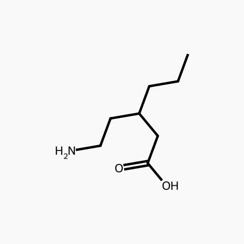 CCCC(CCN)CC(=O)O